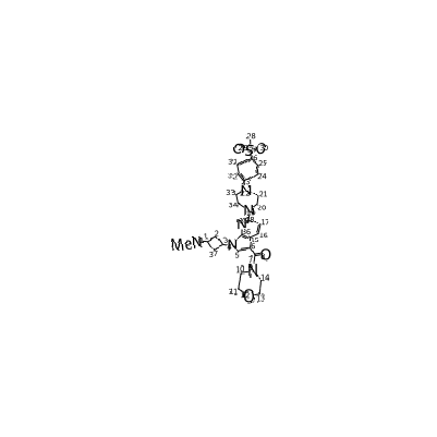 CNC1CC(n2cc(C(=O)N3CCOCC3)c3ccc(N4CCN(c5ccc(S(C)(=O)=O)cc5)CC4)nc32)C1